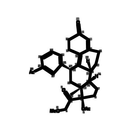 COCC(=O)[C@@]1(OC(C)=O)CC[C@H]2[C@@H]3CCC4=CC(=O)CCC4=C3[C@@H](c3cccc(C(C)=O)c3)C[C@@]21C